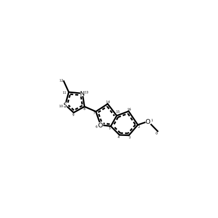 COc1ccc2oc(-c3csc(C)n3)cc2c1